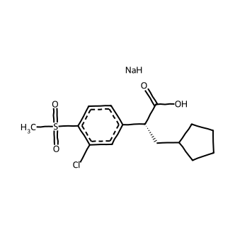 CS(=O)(=O)c1ccc([C@@H](CC2CCCC2)C(=O)O)cc1Cl.[NaH]